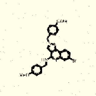 COc1ccc(CNc2nc3cc(Br)ccc3c3nn(Cc4ccc(OC)cc4)cc23)cc1